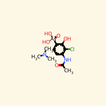 CC(=O)Nc1ccc([As](=O)(O)O)c(O)c1Cl.CN(C)C